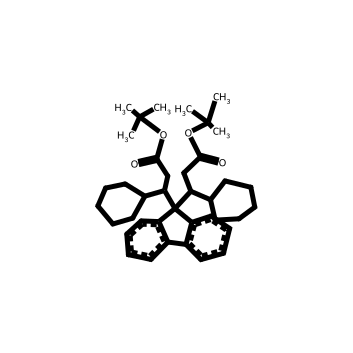 CC(C)(C)OC(=O)CC(C1CCCCC1)C1(C(CC(=O)OC(C)(C)C)C2CCCCC2)c2ccccc2-c2ccccc21